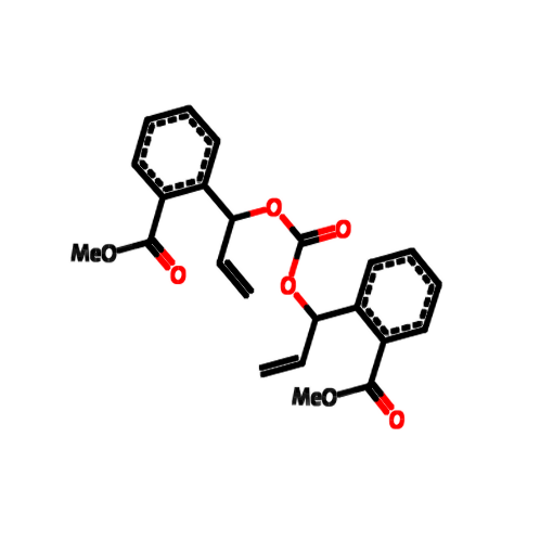 C=CC(OC(=O)OC(C=C)c1ccccc1C(=O)OC)c1ccccc1C(=O)OC